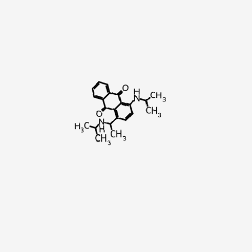 CC(C)Nc1ccc(C(C)NC(C)C)c2c1C(=O)c1ccccc1C2=O